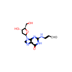 O=C/C=C/Nc1nc2c(ncn2[C@H]2C[C@H](O)[C@@H](CO)O2)c(=O)[nH]1